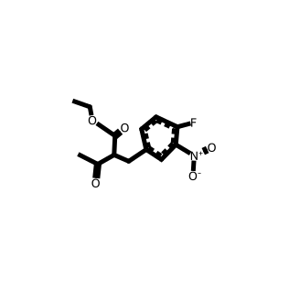 CCOC(=O)C(Cc1ccc(F)c([N+](=O)[O-])c1)C(C)=O